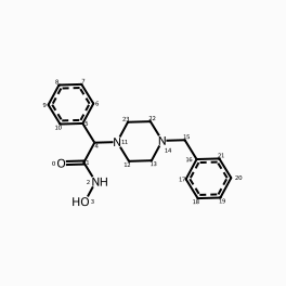 O=C(NO)C(c1ccccc1)N1CCN(Cc2ccccc2)CC1